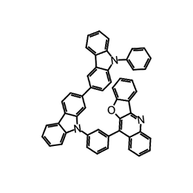 c1ccc(-n2c3ccccc3c3cc(-c4ccc5c6ccccc6n(-c6cccc(-c7c8ccccc8nc8c7oc7ccccc78)c6)c5c4)ccc32)cc1